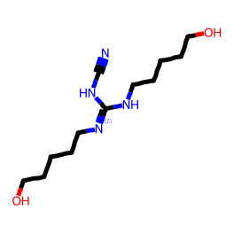 N#CN/C(=N\CCCCCO)NCCCCCO